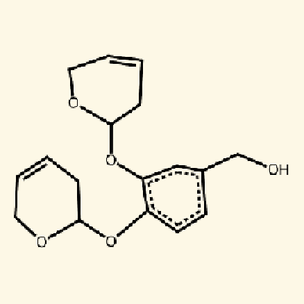 OCc1ccc(OC2CC=CCO2)c(OC2CC=CCO2)c1